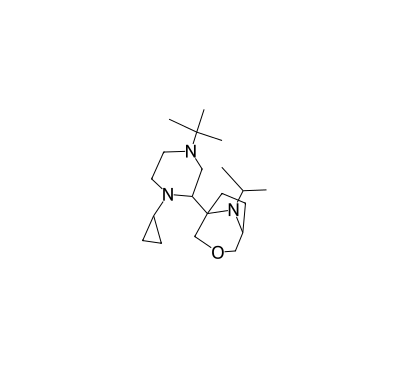 CC(C)N1C2CCC1(C1CN(C(C)(C)C)CCN1C1CC1)COC2